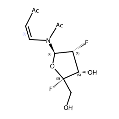 CC(=O)/C=C\N(C(C)=O)[C@@H]1O[C@](F)(CO)[C@@H](O)[C@H]1F